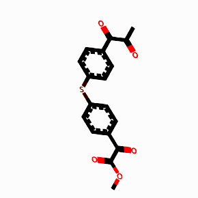 COC(=O)C(=O)c1ccc(Sc2ccc(C(=O)C(C)=O)cc2)cc1